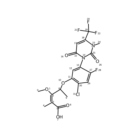 COC(=C(C)C(=O)O)C(C)Oc1cc(-n2c(=O)cc(C(F)(F)F)n(C)c2=O)c(F)cc1Cl